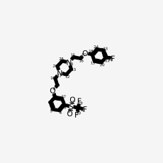 O=S(=O)(c1cccc(OCCN2CCN(CCOc3ccc(F)cc3)CC2)c1)C(F)(F)F